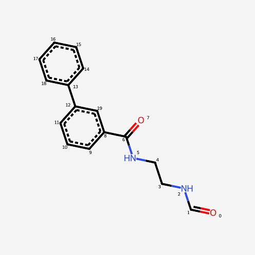 O=CNCCNC(=O)c1cccc(-c2ccccc2)c1